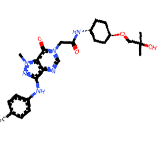 Cn1nc(Nc2ccc(C(F)(F)F)cc2)c2ncn(CC(=O)N[C@H]3CC[C@H](OCC(C)(C)O)CC3)c(=O)c21